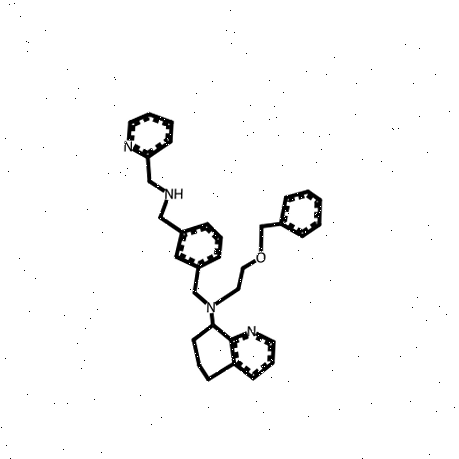 c1ccc(COCCN(Cc2cccc(CNCc3ccccn3)c2)C2CCCc3cccnc32)cc1